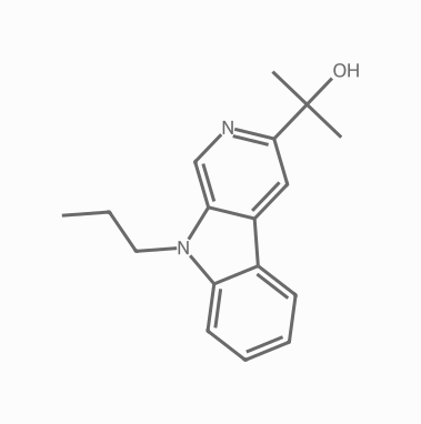 CCCn1c2ccccc2c2cc(C(C)(C)O)ncc21